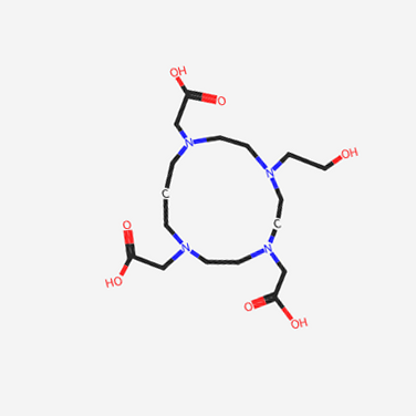 O=C(O)CN1CCCN(CC(=O)O)CCN(CC(=O)O)CCN(CCO)CC1